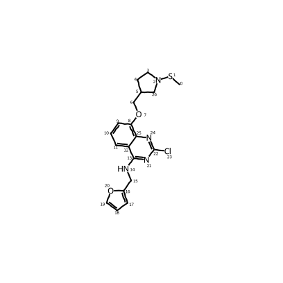 CSN1CCC(COc2cccc3c(NCc4ccco4)nc(Cl)nc23)C1